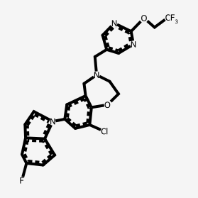 Fc1ccc2c(ccn2-c2cc(Cl)c3c(c2)CN(Cc2cnc(OCC(F)(F)F)nc2)CCO3)c1